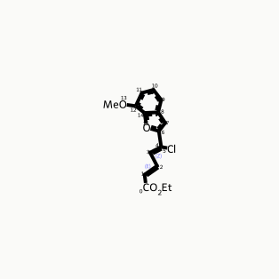 CCOC(=O)/C=C/C=C(\Cl)c1cc2cccc(OC)c2o1